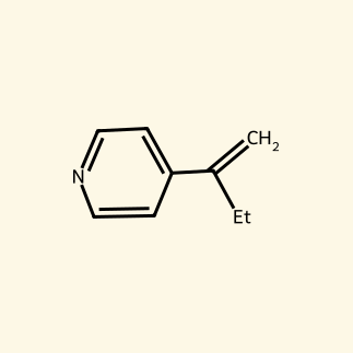 C=C(CC)c1ccncc1